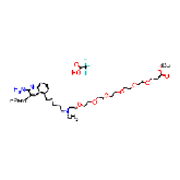 CCCCCc1cc2c(CCCCCN(C)CCOCCOCCOCCOCCOCCOCCC(=O)OC(C)(C)C)cccc2nc1N.O=C(O)C(F)(F)F